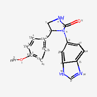 CCCO[13c]1[13cH][13cH][13c](C2CNC(=O)N2c2ccc3nc[nH]c3c2)[13cH][13cH]1